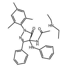 CC(=O)NC1(Nc2ccccc2)C(=O)N(c2c(C)cc(C)cc2C)N=C1c1ccccc1.CCNCC